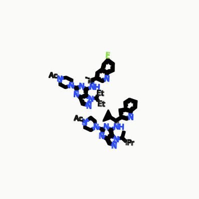 CC(=O)N1CCN(c2nc(N[C@@H](c3cnc4ccccc4c3)C3CC3)c3c(cnn3C(C)C(C)C)n2)CC1.CCC(CC)n1ncc2nc(N3CCN(C(C)=O)CC3)nc(N[C@H](C)c3cnc4ccc(F)cc4c3)c21